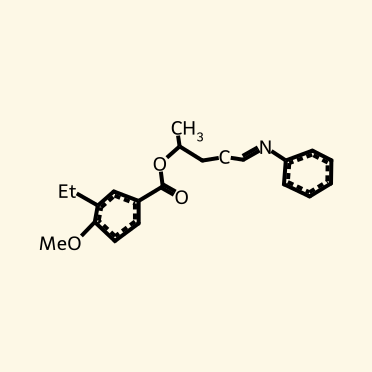 CCc1cc(C(=O)OC(C)CCC=Nc2ccccc2)ccc1OC